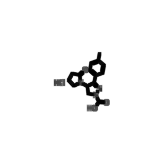 Cc1ccc(C2=NN(C(=O)O)CC2N2CCCC2=O)cc1.Cl